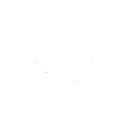 c1ccc(C2(c3ccccc3)c3ccccc3-c3c(-c4ccc(N(c5ccc6ccccc6c5)c5ccccc5-c5ccc(-c6ccc7ccccc7c6)cc5)cc4)cccc32)cc1